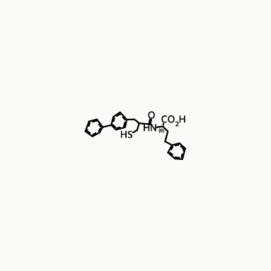 O=C(N[C@H](CCc1ccccc1)C(=O)O)C(CS)Cc1ccc(-c2ccccc2)cc1